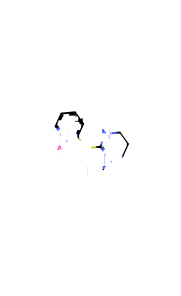 CN1CCC[N+](C)=C1Sc1cccc[n+]1[O-]